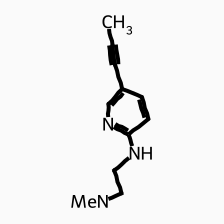 CC#Cc1ccc(NCCNC)nc1